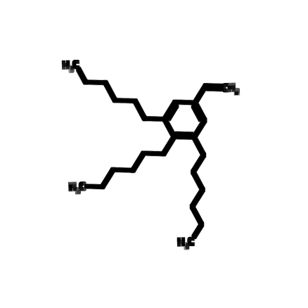 C=Cc1cc(CCCCCC)c(CCCCCC)c(CCCCCC)c1